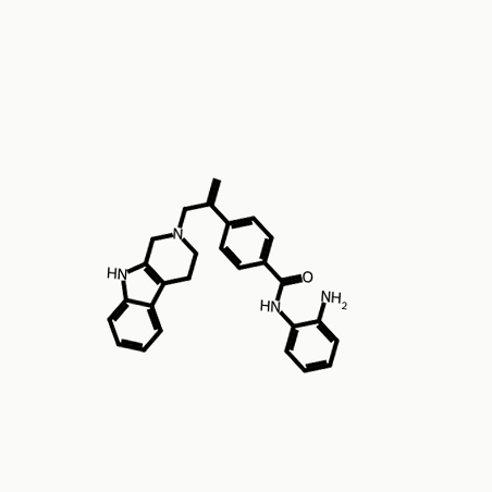 C=C(CN1CCc2c([nH]c3ccccc23)C1)c1ccc(C(=O)Nc2ccccc2N)cc1